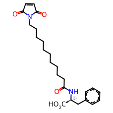 O=C(CCCCCCCCCCN1C(=O)C=CC1=O)N[C@@H](Cc1ccccc1)C(=O)O